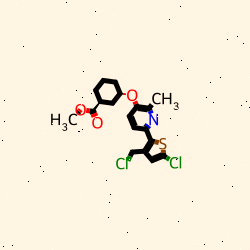 COC(=O)[C@H]1CCC[C@H](Oc2ccc(-c3sc(Cl)cc3CCl)nc2C)C1